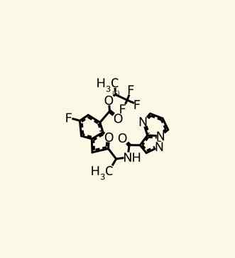 CC(NC(=O)c1cnn2cccnc12)c1cc2cc(F)cc(C(=O)O[C@@H](C)C(F)(F)F)c2o1